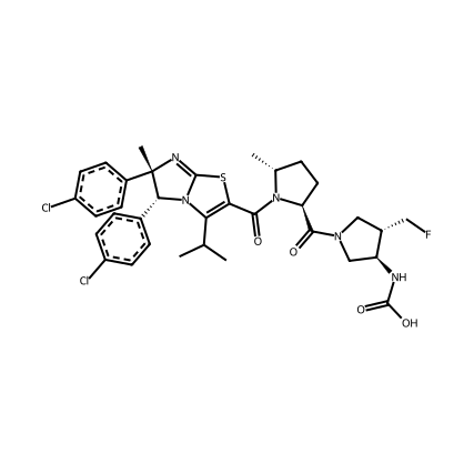 CC(C)C1=C(C(=O)N2[C@H](C)CC[C@H]2C(=O)N2C[C@H](CF)[C@@H](NC(=O)O)C2)SC2=N[C@@](C)(c3ccc(Cl)cc3)[C@@H](c3ccc(Cl)cc3)N21